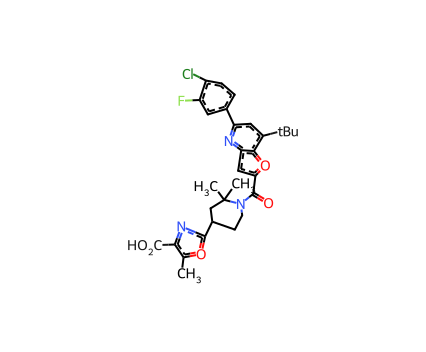 Cc1oc(C2CCN(C(=O)c3cc4nc(-c5ccc(Cl)c(F)c5)cc(C(C)(C)C)c4o3)C(C)(C)C2)nc1C(=O)O